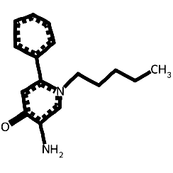 CCCCCn1cc(N)c(=O)cc1-c1ccccc1